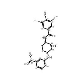 Cl.O=C(NC1CCC(Nc2cc([N+](=O)[O-])ccn2)CC1)c1cc(F)c(F)c(F)c1